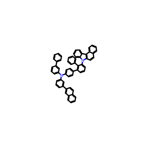 c1ccc(-c2cccc(N(c3ccc(-c4cccc(-n5c6ccccc6c6c7ccccc7ccc65)c4-c4ccccc4)cc3)c3cccc(-c4ccc5ccccc5c4)c3)c2)cc1